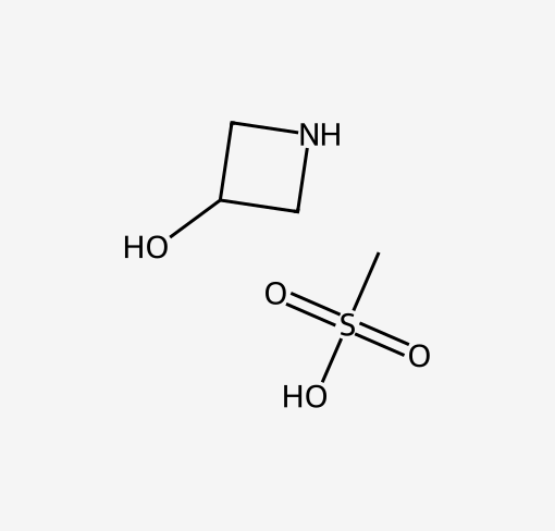 CS(=O)(=O)O.OC1CNC1